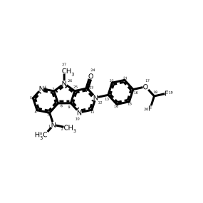 CN(C)c1ccnc2c1c1ncn(-c3ccc(OC(F)F)cc3)c(=O)c1n2C